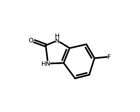 O=c1[nH]c2ccc(F)cc2[nH]1